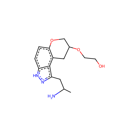 CC(N)Cc1n[nH]c2ccc3c(c12)CC(OCCO)CO3